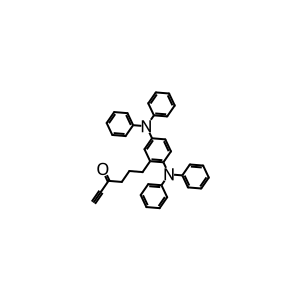 C#CC(=O)CCCc1cc(N(c2ccccc2)c2ccccc2)ccc1N(c1ccccc1)c1ccccc1